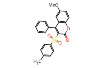 COc1ccc2oc(=O)c(S(=O)(=O)c3ccc(C)cc3)c(-c3ccccc3)c2c1